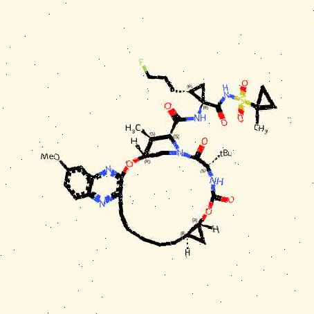 COc1ccc2nc3c(nc2c1)O[C@H]1CN(C(=O)[C@H](C(C)(C)C)NC(=O)O[C@@H]2C[C@H]2CCCCC3)[C@H](C(=O)N[C@]2(C(=O)NS(=O)(=O)C3(C)CC3)C[C@H]2CCCF)[C@@H]1C